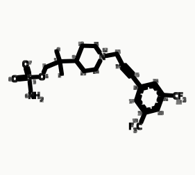 CC(C)(COS(N)(=O)=O)C1CCN(CC#Cc2cc(C(F)(F)F)cc(C(F)(F)F)c2)CC1